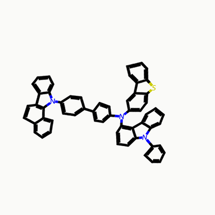 c1ccc(-n2c3ccccc3c3c(N(c4ccc(-c5ccc(-n6c7ccccc7c7ccc8ccccc8c76)cc5)cc4)c4ccc5sc6ccccc6c5c4)cccc32)cc1